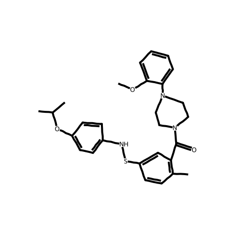 COc1ccccc1N1CCN(C(=O)c2cc(SNc3ccc(OC(C)C)cc3)ccc2C)CC1